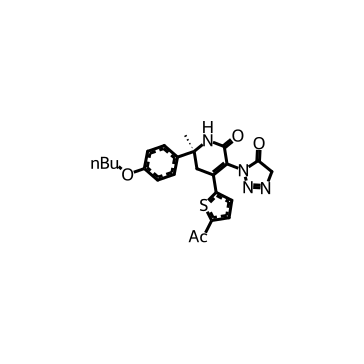 CCCCOc1ccc([C@]2(C)CC(c3ccc(C(C)=O)s3)=C(N3N=NCC3=O)C(=O)N2)cc1